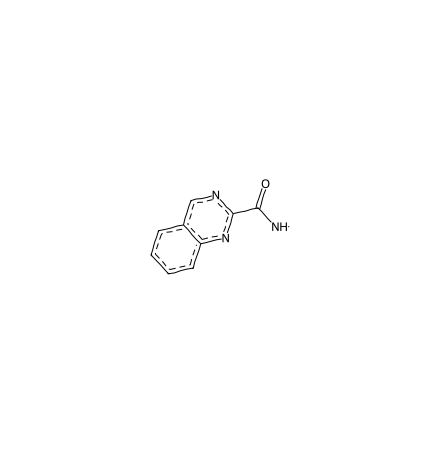 [NH]C(=O)c1ncc2ccccc2n1